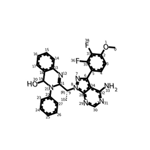 COc1ccc(-c2nn([C@H](C)C3=Nc4ccccc4C(O)N3c3ccccc3)c3ncnc(N)c23)c(F)c1F